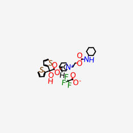 O=C(NC1CCCCC1)OCC[N+]12CCC(CC1)[C@@H](OC(=O)C(O)(c1cccs1)c1cccs1)C2.O=C([O-])C(F)(F)F